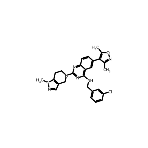 Cc1noc(C)c1-c1ccc2nc(N3CCc4c(cnn4C)C3)nc(NCc3cccc(Cl)c3)c2c1